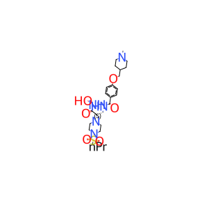 CCCS(=O)(=O)N1CCN([C@@H](CNC(=O)c2ccc(OCC3CCN(C)CC3)cc2)C(=O)NO)CC1